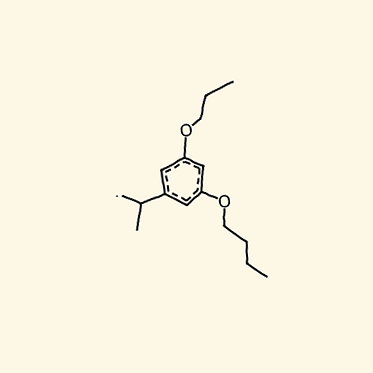 [CH2]C(C)c1cc(OCCC)cc(OCCCC)c1